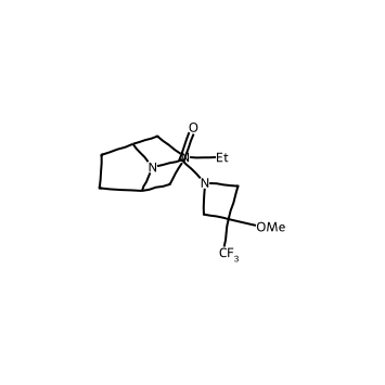 CCN1CC2CCC(C1)N2C(=O)N1CC(OC)(C(F)(F)F)C1